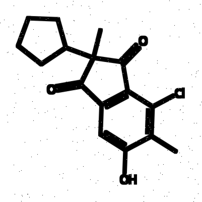 Cc1c(O)cc2c(c1Cl)C(=O)C(C)(C1CCCC1)C2=O